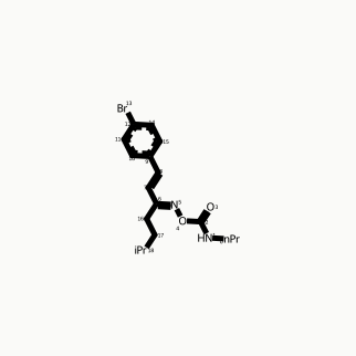 CCCNC(=O)ON=C(C=Cc1ccc(Br)cc1)CCC(C)C